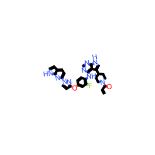 C=CC(=O)N1CCC(c2c[nH]c3ncnc(Nc4ccc(Oc5ccn(-c6ccc7cc[nH]c7n6)n5)cc4F)c23)CC1